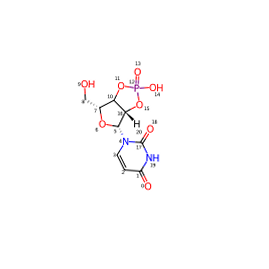 O=c1ccn([C@@H]2O[C@H](CO)C3OP(=O)(O)O[C@@H]32)c(=O)[nH]1